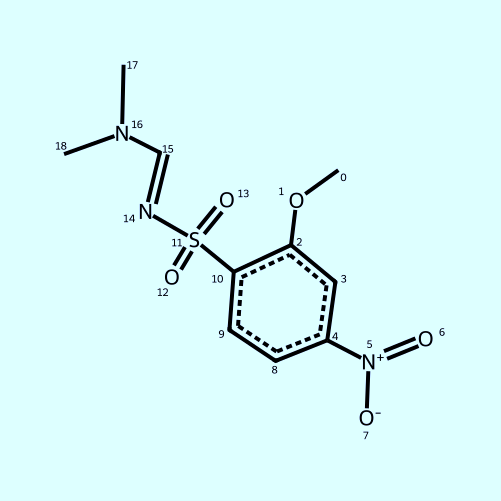 COc1cc([N+](=O)[O-])ccc1S(=O)(=O)N=CN(C)C